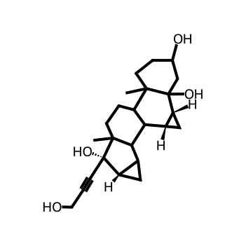 CC12CCC(O)CC1(O)[C@@H]1C[C@@H]1C1C2CCC2(C)C1C1C[C@@H]1[C@@]2(O)C#CCO